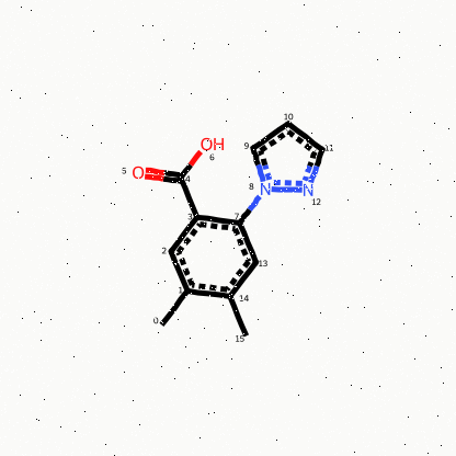 Cc1cc(C(=O)O)c(-n2cccn2)cc1C